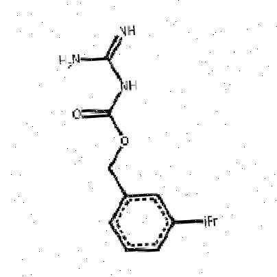 CC(C)c1cccc(COC(=O)NC(=N)N)c1